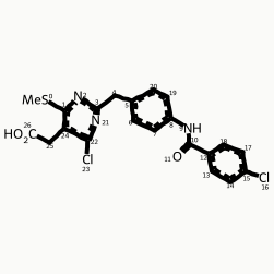 CSc1nc(Cc2ccc(NC(=O)c3ccc(Cl)cc3)cc2)nc(Cl)c1CC(=O)O